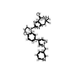 CC1(C)Cc2nc(N3CCOc4ccc(-c5cnn(Cc6cccnc6)c5)cc43)sc2C(=O)N1